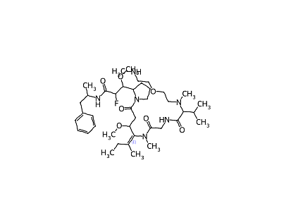 CC/C(C)=C(\C(CC(=O)N1CCCC1C(OC)C(F)C(=O)NC(C)Cc1ccccc1)OC)N(C)C(=O)CNC(=O)C(C(C)C)N(C)CCOCCNC